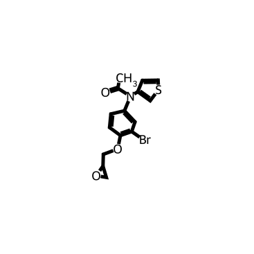 CC(=O)N(c1ccsc1)c1ccc(OCC2CO2)c(Br)c1